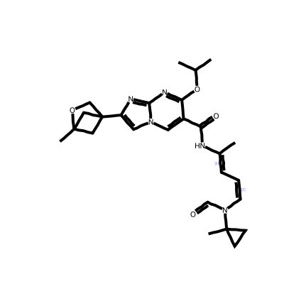 C/C(=C\C=C/N(C=O)C1(C)CC1)NC(=O)c1cn2cc(C34COC(C)(C3)C4)nc2nc1OC(C)C